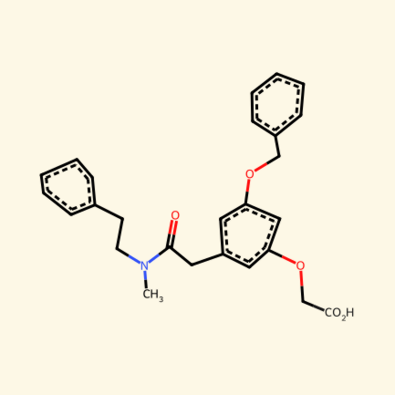 CN(CCc1ccccc1)C(=O)Cc1cc(OCC(=O)O)cc(OCc2ccccc2)c1